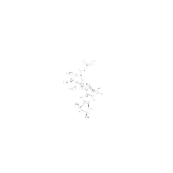 COC(=O)OC[C@H]1O[C@@](O)(Oc2nn(C(C)C)c(C)c2Cc2ccc(Br)cc2F)[C@H](O)[C@@H](O)[C@@H]1O